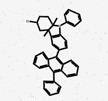 CCC1CCC2(C)N(c3ccccc3)c3ccc(-c4c5ccccc5c(-c5ccccc5)c5ccccc45)cc3C2(C)C1